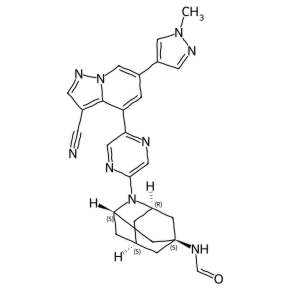 Cn1cc(-c2cc(-c3cnc(N4[C@@H]5C[C@@H]6C[C@H]4C[C@@](NC=O)(C6)C5)cn3)c3c(C#N)cnn3c2)cn1